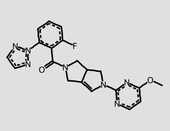 COc1ccnc(N2C=C3CN(C(=O)c4c(F)cccc4-n4nccn4)CC3C2)n1